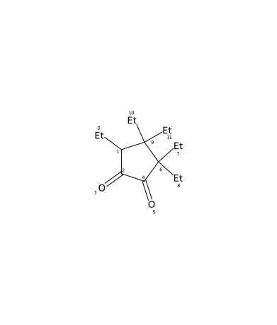 CCC1C(=O)C(=O)C(CC)(CC)C1(CC)CC